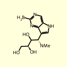 Bc1ncc2[nH]cc([C@H](NC)C(O)[C@@H](O)CO)c2n1